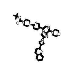 CC(C)(C)OC(=O)N1CCN(c2ccc(-c3cnc(N4CCOCC4)c4nc(N5CC(c6ccc7ccccc7n6)C5)cn34)cn2)CC1